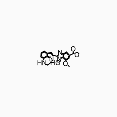 COC(=O)c1cc(OC)c2c(c1)nc(-c1cc3cccc4c3n1CCN4)n2O